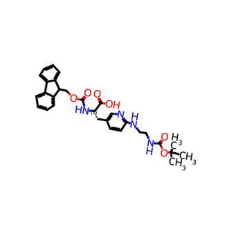 CC(C)(C)OC(=O)NCCNc1ccc(C[C@H](NC(=O)OCC2c3ccccc3-c3ccccc32)C(=O)O)cn1